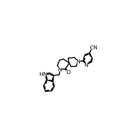 N#Cc1ccnc(N2CCC3(CCCN(Cc4c[nH]c5ccccc45)C3=O)CC2)c1